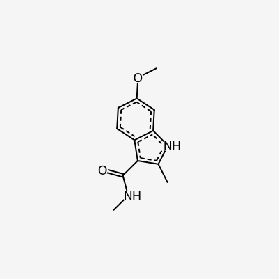 CNC(=O)c1c(C)[nH]c2cc(OC)ccc12